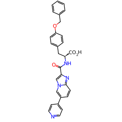 O=C(N[C@@H](Cc1ccc(OCc2ccccc2)cc1)C(=O)O)c1cn2cc(-c3ccncc3)ccc2n1